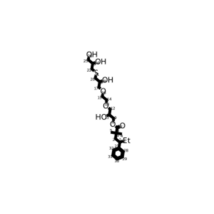 CCC(CC(C)(C)C(=O)OCC(O)COCCOCC(O)CSCC(O)CO)c1ccccc1